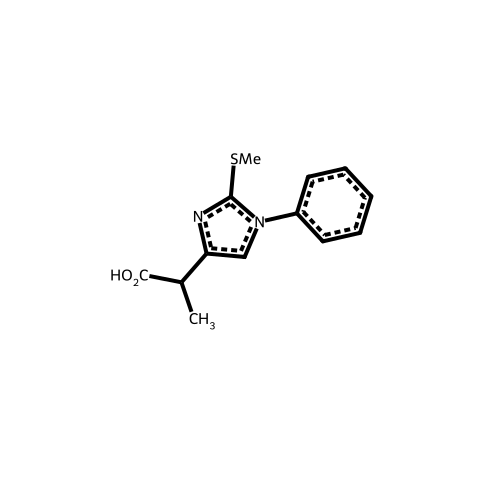 CSc1nc(C(C)C(=O)O)cn1-c1ccccc1